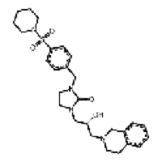 O=C1N(Cc2ccc(S(=O)(=O)N3CCCCC3)cc2)CCN1C[C@H](O)CN1CCc2ccccc2C1